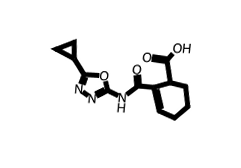 O=C(Nc1nnc(C2CC2)o1)C1=CCCCC1C(=O)O